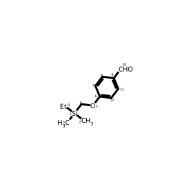 CC[Si](C)(C)COc1ccc(C=O)cc1